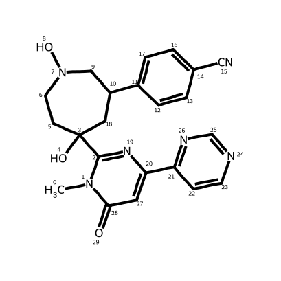 Cn1c(C2(O)CCN(O)CC(c3ccc(C#N)cc3)C2)nc(-c2ccncn2)cc1=O